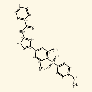 COc1ccc(S(=O)(=O)c2c(C)cc(-c3csc(NC(=O)c4ccncc4)n3)cc2C)cc1